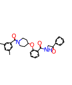 Cc1cc(C)cc(C(=O)N2CCC(Oc3ccccc3C(=O)NCC(=O)c3ccccc3)CC2)c1